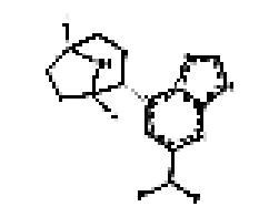 FC(F)c1cc([C@H]2CC[C@H]3CC[C@@H]2N3)n2ncnc2n1